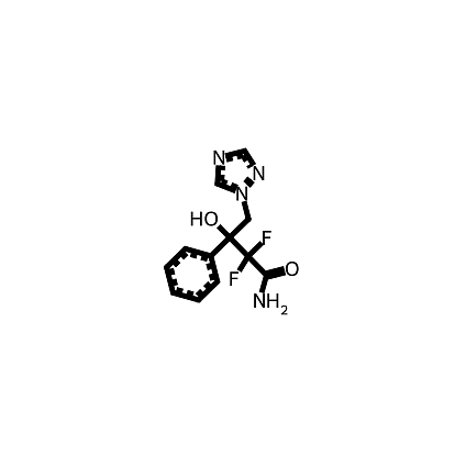 NC(=O)C(F)(F)C(O)(Cn1cncn1)c1ccccc1